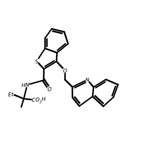 CCC(C)(NC(=O)c1sc2ccccc2c1OCc1ccc2ccccc2n1)C(=O)O